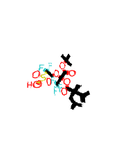 CC(C)CC(C)(C(=O)OC(OCC(F)(F)S(=O)(=O)O)(C(=O)OC(C)(C)C)C(F)(F)F)C(C)C